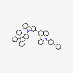 c1ccc(-c2ccc(N(c3ccccc3)c3ccccc3-c3cccc(-c4ccc5c6ccccc6n(-c6ccc7c(c6)C(c6ccccc6)(c6ccccc6)c6ccccc6-7)c5c4)c3)cc2)cc1